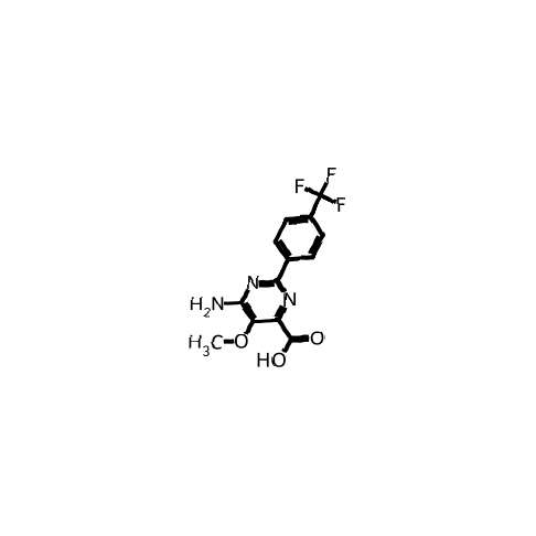 COc1c(N)nc(-c2ccc(C(F)(F)F)cc2)nc1C(=O)O